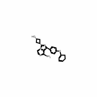 Nc1nccn2c1c(-c1ccc(OC3=CC=CCC3)cc1)nc2[C@H]1C[C@@H](O)C1